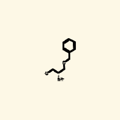 CCC[C@H](C[O])COCc1ccccc1